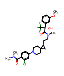 COc1cccc([C@@](O)(C(=O)N(C)CC[C@H]2CC23CCN(c2ccc(C(=O)N(C)C)c(Cl)c2)CC3)C(F)(F)F)c1